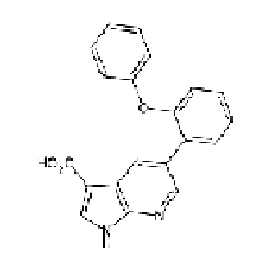 O=C(O)c1c[nH]c2ncc(-c3ccccc3Oc3ccccc3)cc12